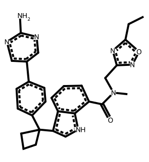 CCc1nc(CN(C)C(=O)c2cccc3c(C4(c5ccc(-c6cnc(N)nc6)cc5)CCC4)c[nH]c23)no1